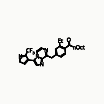 CCCCCCCCC(=O)c1ccc(Cc2nccn3c(C4=CCN=C4C(F)(F)F)cnc23)cc1CC